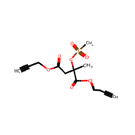 C#CCOC(=O)CC(C)(OS(C)(=O)=O)C(=O)OCC#C